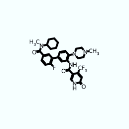 CN1CCN(c2ccc(-c3cc(C(=O)N(C)C4CCCCC4)ccc3F)cc2NC(=O)c2c[nH]c(=O)cc2C(F)(F)F)CC1